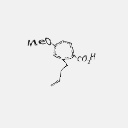 C=CCCc1cc(OC)ccc1C(=O)O